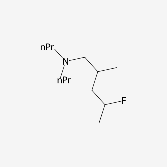 CCCN(CCC)CC(C)CC(C)F